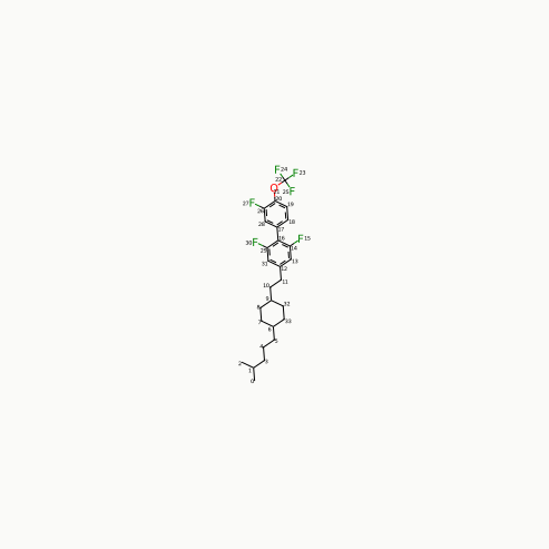 CC(C)CCCC1CCC(CCc2cc(F)c(-c3ccc(OC(F)(F)F)c(F)c3)c(F)c2)CC1